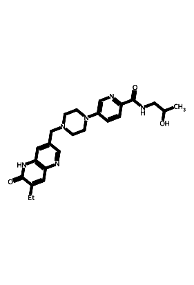 CCc1cc2ncc(CN3CCN(c4ccc(C(=O)NCC(C)O)nc4)CC3)cc2[nH]c1=O